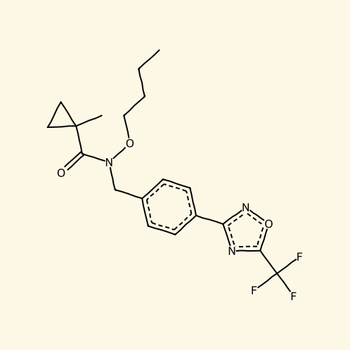 CCCCON(Cc1ccc(-c2noc(C(F)(F)F)n2)cc1)C(=O)C1(C)CC1